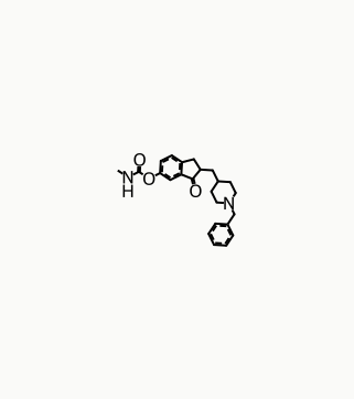 CNC(=O)Oc1ccc2c(c1)C(=O)C(CC1CCN(Cc3ccccc3)CC1)C2